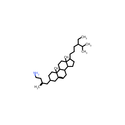 C=C(CCN)CC1CCC2(C)C(=CCC3C2CCC2(C)C(CCCC(CC)C(C)C)CCC32)C1